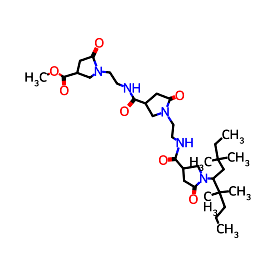 CCCC(C)(C)C(CC(C)(C)CC)N1CC(C(=O)NCCN2CC(C(=O)NCCN3CC(C(=O)OC)CC3=O)CC2=O)CC1=O